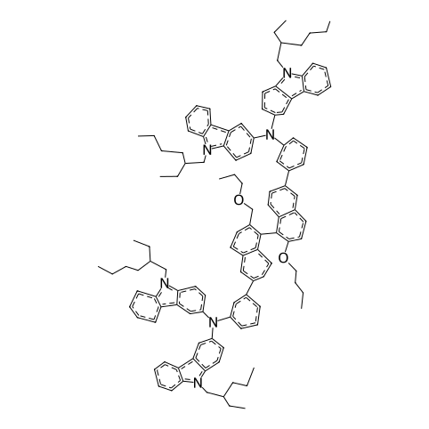 CCCCOc1ccc2cc(-c3cccc(N(c4ccc5c(c4)c4ccccc4n5CC(CC)CCCC)c4ccc5c(c4)c4ccccc4n5CC(CC)CCCC)c3)ccc2c1-c1c(COCCC)ccc2cc(-c3cccc(N(c4ccc5c(c4)c4ccccc4n5CC(CC)CCC)c4ccc5c(c4)c4ccccc4n5CC(CC)CCCC)c3)ccc12